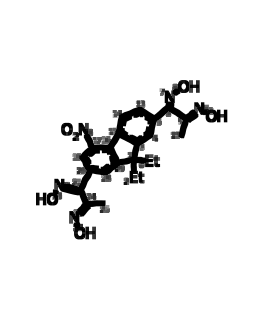 CCC1(CC)c2cc(C(=N/O)/C(C)=N/O)ccc2-c2c([N+](=O)[O-])cc(C(=N/O)/C(C)=N/O)cc21